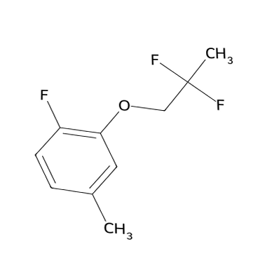 Cc1ccc(F)c(OCC(C)(F)F)c1